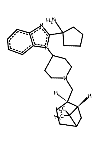 CC1(C)C2CC[C@@H](CN3CCC(n4c(C5(N)CCCC5)nc5ccccc54)CC3)[C@@H]1C2